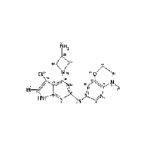 CCc1[nH]c2nc(Sc3cnc4c(c3)OCCN4C)nc(N3CC(N)C3)c2c1Cl